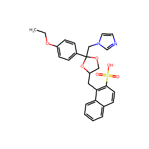 CCOc1ccc(C2(Cn3ccnc3)OCC(Cc3c(S(=O)(=O)O)ccc4ccccc34)O2)cc1